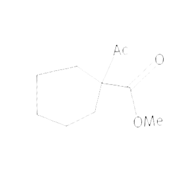 COC(=O)C1(C(C)=O)CCCCC1